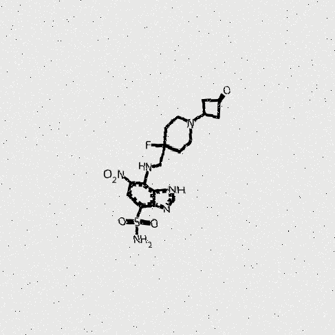 NS(=O)(=O)c1cc([N+](=O)[O-])c(NCC2(F)CCN(C3CC(=O)C3)CC2)c2[nH]cnc12